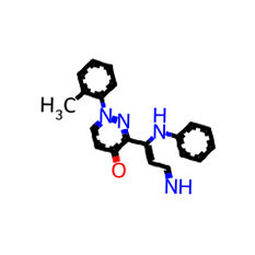 Cc1ccccc1-n1ccc(=O)c(/C(=C/C=N)Nc2ccccc2)n1